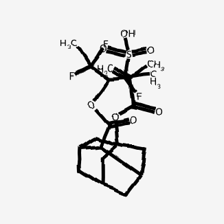 C=C(C)C(=O)OC12CC3CC(C1)C(C(=O)OC(C(C)(F)F)C(C)(F)S(=O)(=O)O)C(C3)C2